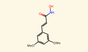 COc1cc(C=CC(=O)NO)cc(OC)c1